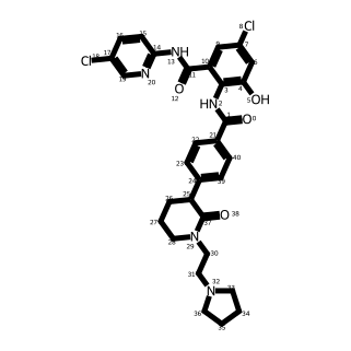 O=C(Nc1c(O)cc(Cl)cc1C(=O)Nc1ccc(Cl)cn1)c1ccc(C2CCCN(CCN3CCCC3)C2=O)cc1